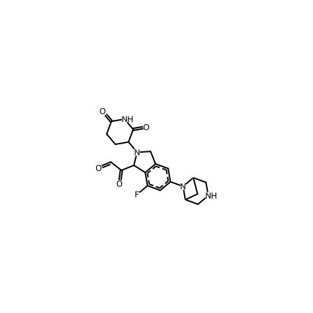 O=CC(=O)C1c2c(F)cc(N3C4CNCC3C4)cc2CN1C1CCC(=O)NC1=O